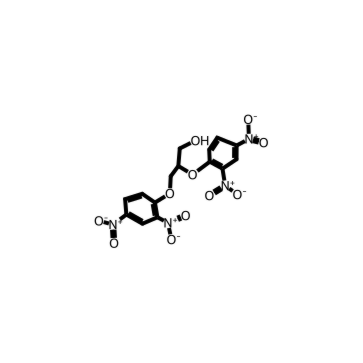 O=[N+]([O-])c1ccc(OCC(CO)Oc2ccc([N+](=O)[O-])cc2[N+](=O)[O-])c([N+](=O)[O-])c1